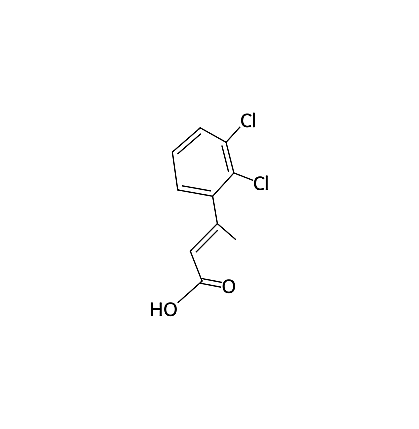 C/C(=C\C(=O)O)c1cccc(Cl)c1Cl